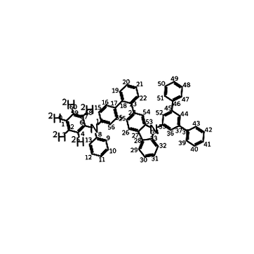 [2H]c1c([2H])c([2H])c(N(c2ccccc2)c2ccc(-c3ccccc3-c3ccc4c5ccccc5n(-c5cc(-c6ccccc6)cc(-c6ccccc6)c5)c4c3)cc2)c([2H])c1[2H]